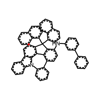 c1ccc(-c2cccc(Nc3ccc4c5c3C(c3cccc6ccccc36)(c3cccc6ccccc36)c3ccc6c7ccccc7n(c6c3-5)-c3ccccc3-4)c2)cc1